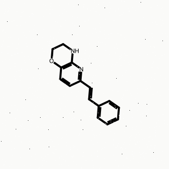 C(=Cc1ccc2c(n1)NCCO2)c1ccccc1